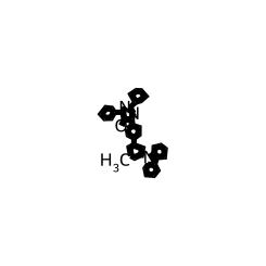 Cc1cc(-c2ccc3c(c2)oc2c(-c4ccccc4)nc(-c4ccccc4)nc23)cc(-n2c3ccccc3c3ccccc32)c1